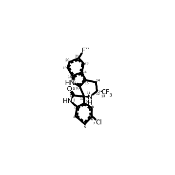 O=C1Nc2ccc(Cl)cc2[C@]12N[C@@H](C(F)(F)F)Cc1c2[nH]c2ccc(F)cc12